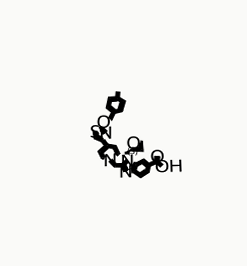 Cc1ccc(COc2nc(C3=CCN(Cc4nc5ccc(C(=O)O)cc5n4C[C@@H]4CCO4)CC3)cs2)cc1